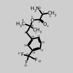 CC(N)C(=O)OC(C)(C)Cc1cccc(C(F)(F)F)c1